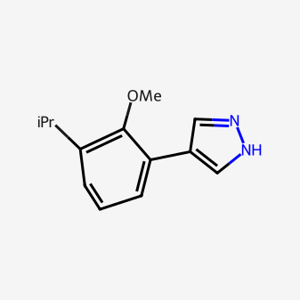 COc1c(-c2cn[nH]c2)cccc1C(C)C